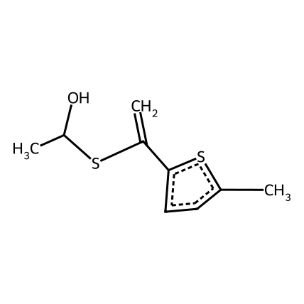 C=C(SC(C)O)c1ccc(C)s1